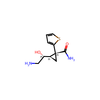 NC[C@H](O)[C@@H]1C[C@@]1(C(N)=O)c1cccs1